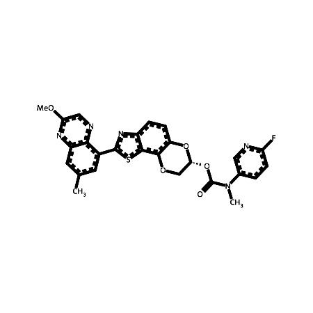 COc1cnc2c(-c3nc4ccc5c(c4s3)OC[C@@H](OC(=O)N(C)c3ccc(F)nc3)O5)cc(C)cc2n1